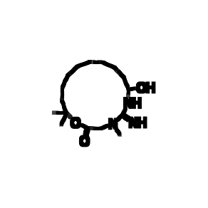 CN1CC(=O)OC(C)(C)CCCCCCCCC(O)NC1=N